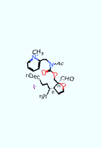 CCCCCCCCCCCCC(CCC)[C@H]1CCO[C@]1(C=O)COC(=O)N(Cc1cccc[n+]1C)C(C)=O.[I-]